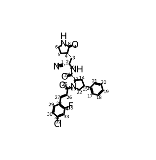 N#C[C@H](C[C@@H]1CCNC1=O)NC(=O)[C@@H]1C[C@@H](c2ccccc2)CN1C(=O)/C=C/c1ccc(Cl)cc1F